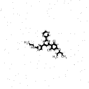 CCCNc1ncc(-c2cc(-c3c(Cl)cc(OC(CC)CC)cc3Cl)nc(-c3cnccn3)n2)s1